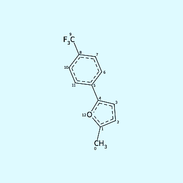 Cc1ccc(-c2ccc(C(F)(F)F)cc2)o1